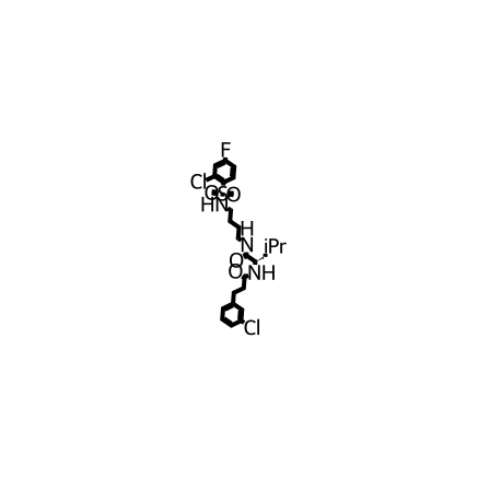 CC(C)C[C@H](NC(=O)CCc1cccc(Cl)c1)C(=O)NCCCCNS(=O)(=O)c1ccc(F)cc1Cl